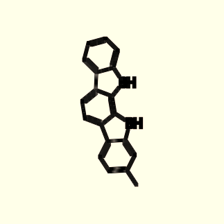 Cc1ccc2c(c1)Bc1c-2ccc2c1Bc1ccccc1-2